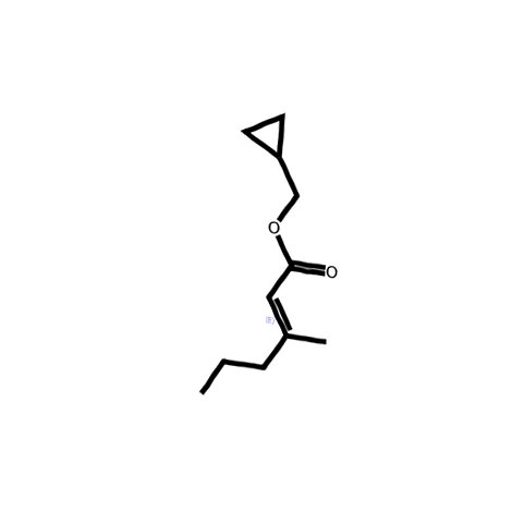 CCC/C(C)=C/C(=O)OCC1CC1